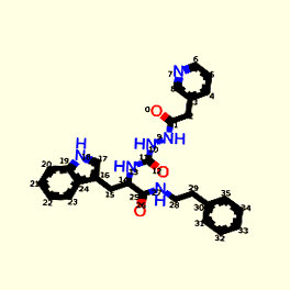 O=C(Cc1cccnc1)NNC(=O)NC(Cc1c[nH]c2ccccc12)C(=O)NCCc1ccccc1